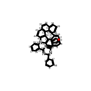 c1ccc(-c2nc(-c3ccccc3)nc(-c3ccccc3-n3c4ccc5cccc6c5c4c4c5c(ccc7cccc-6c75)ccc43)n2)cc1